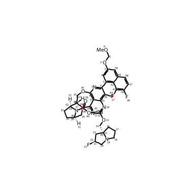 COCOc1cc(-c2nc3c4c(nc(OC[C@]56CCCN5C[C@@H](F)C6)nc4c2F)N2C[C@H]4CC[C@@H]([C@@H]2CO3)N4C(=O)OC(C)(C)C)c2c(F)c(F)ccc2c1